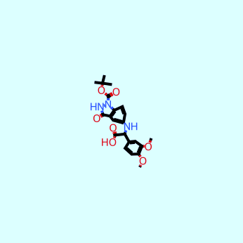 COc1ccc(C(Nc2ccc3c(c2)c(=O)[nH]n3C(=O)OC(C)(C)C)C(=O)O)cc1OC